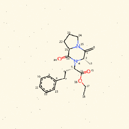 C=C1[C@H](C)N([C@@H](CCc2ccccc2)C(=O)OCC)C(=O)C2CCCN12